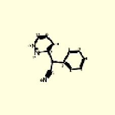 N#CC(c1ccccc1)c1cccnn1